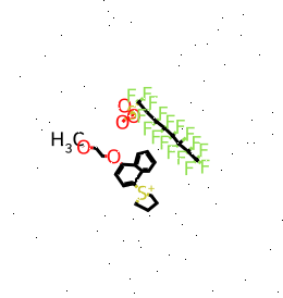 COCCOc1ccc([S+]2CCCC2)c2ccccc12.O=S(=O)([O-])C(F)(F)C(F)(F)C(F)(F)C(F)(F)C(F)(F)C(F)(F)C(F)(F)C(F)(F)F